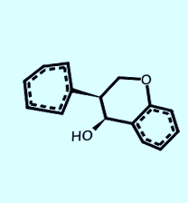 O[C@@H]1c2ccccc2OC[C@@H]1c1ccccc1